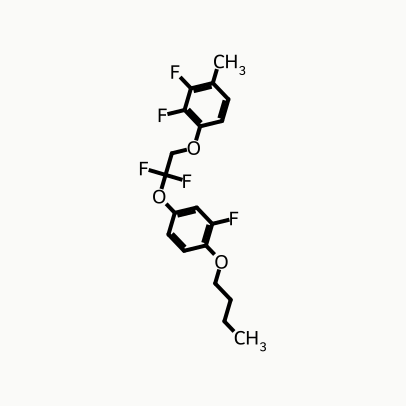 CCCCOc1ccc(OC(F)(F)COc2ccc(C)c(F)c2F)cc1F